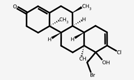 C[C@@H]1CC2=CC(=O)CC[C@]2(C)[C@H]2CC[C@@]3(C)[C@@H](CC=C(Cl)C3(O)CBr)[C@H]12